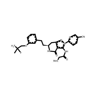 CSCC(=O)Nc1c2c(nn1-c1ccc(C#N)cn1)C[C@H](CCc1cccc(OCC(C)(F)P)c1)NC2=O